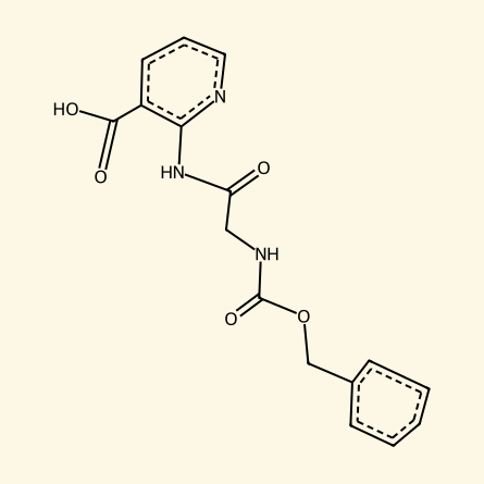 O=C(CNC(=O)OCc1ccccc1)Nc1ncccc1C(=O)O